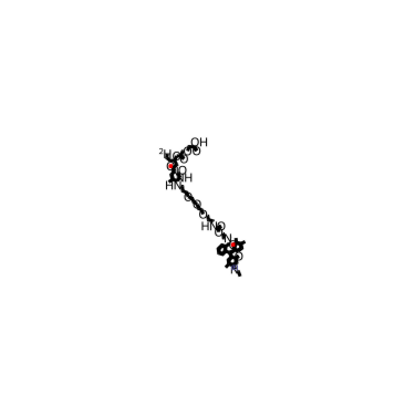 [2H]CC1OC(N2C=C(C)C(NCCCOCCOCCOCCCNC(=O)OCCN(C)C(=O)c3ccccc3-c3c4cc(C)/c(=N/CC)cc-4oc4cc(C)c(C)cc34)NC2=O)CC1OC(=O)COCC(=O)O